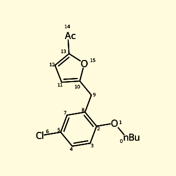 CCCCOc1ccc(Cl)cc1Cc1ccc(C(C)=O)o1